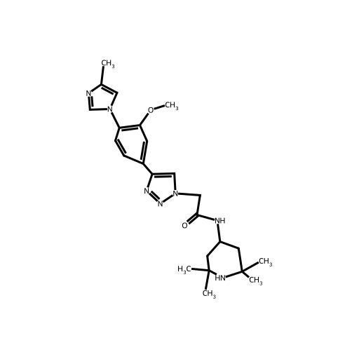 COc1cc(-c2cn(CC(=O)NC3CC(C)(C)NC(C)(C)C3)nn2)ccc1-n1cnc(C)c1